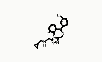 Fc1cccc2c1-n1c(nnc1CNCC1CC1)CN=C2c1cccc(Cl)c1